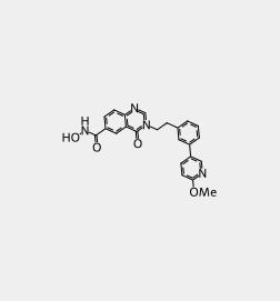 COc1ccc(-c2cccc(CCn3cnc4ccc(C(=O)NO)cc4c3=O)c2)cn1